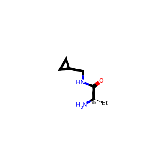 CC[C@H](N)C(=O)NCC1CC1